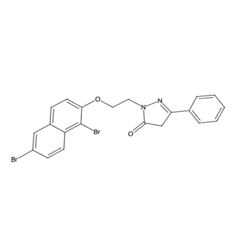 O=C1CC(c2ccccc2)=NN1CCOc1ccc2cc(Br)ccc2c1Br